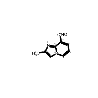 Cc1cn2cccc(C=O)c2n1